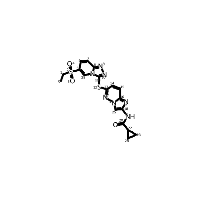 CCS(=O)(=O)c1ccc2nnc(Sc3ccc4nc(NC(=O)C5CC5)cn4n3)n2c1